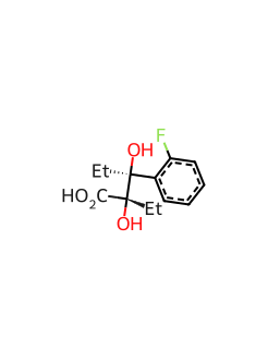 CC[C@@](O)(C(=O)O)[C@](O)(CC)c1ccccc1F